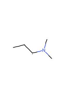 CC[CH]N(C)C